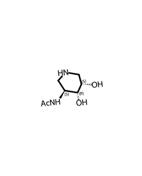 CC(=O)N[C@H]1CNC[C@H](O)[C@@H]1O